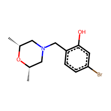 C[C@@H]1CN(Cc2ccc(Br)cc2O)C[C@H](C)O1